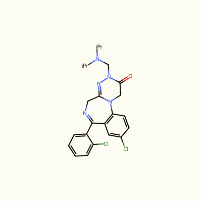 CC(C)N(CN1N=C2CN=C(c3ccccc3Cl)c3cc(Cl)ccc3N2CC1=O)C(C)C